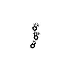 c1ccc2s[n+](-c3ccc4[nH][n+](-c5ccc6nonc6c5)nc4c3)cc2c1